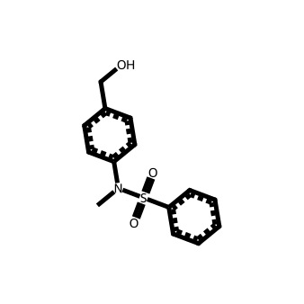 CN(c1ccc(CO)cc1)S(=O)(=O)c1ccccc1